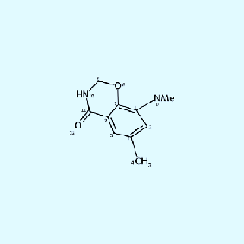 CNc1cc(C)cc2c1OCNC2=O